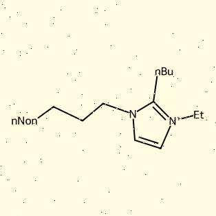 CCCCCCCCCCCCn1cc[n+](CC)c1CCCC